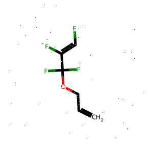 C=CCOC(F)(F)C(F)=CF